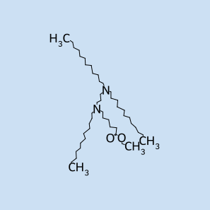 CCCCCCCCCCCCN(CCCCCCCCCCCC)CCCN(CCCCCCCCCCCC)CCCCCC(=O)OCC